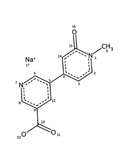 Cn1ccc(-c2cncc(C(=O)[O-])c2)cc1=O.[Na+]